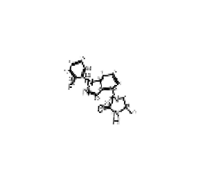 C[C@@H]1CN(c2cccc3c2cnn3-c2ccccc2F)C(=O)N1